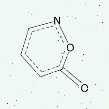 O=c1cccno1